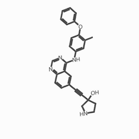 Cc1cc(Nc2ncnc3ccc(C#CC4(O)CCNC4)cc23)ccc1Oc1ccccc1